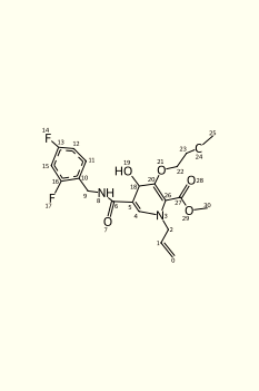 C=CCN1C=C(C(=O)NCc2ccc(F)cc2F)C(O)C(OCCCC)=C1C(=O)OC